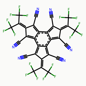 N#CC1=c2c3c(c4c(c2=C(C#N)C1=C(C(F)(F)F)C(F)(F)F)=C(C#N)C(=C(C(F)(F)F)C(F)(F)F)C=4C#N)=C(C#N)C(=C(C(F)(F)F)C(F)(F)F)C=3C#N